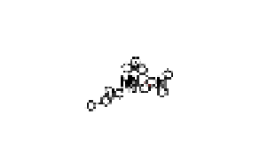 c1ccc(-c2ccc3c(c2)oc2cc(-c4nc(-c5ccccc5)nc(-c5cccc6oc7ccc(-c8ccc9c%10ccccc%10n(-c%10ccccc%10)c9c8)cc7c56)n4)ccc23)cc1